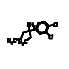 BC(CC)(CCC)c1ccc(Cl)c(Cl)c1